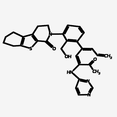 C=C/C=C(\C=C(\Nc1ccncn1)C(C)=O)c1cccc(N2CCc3c(sc4c3CCCC4)C2=O)c1CO